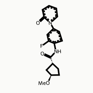 CO[C@@H]1CC[C@@H](C(=O)Nc2ccc(-n3ccccc3=O)cc2F)C1